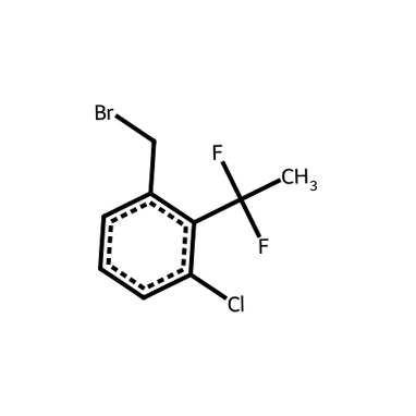 CC(F)(F)c1c(Cl)cccc1CBr